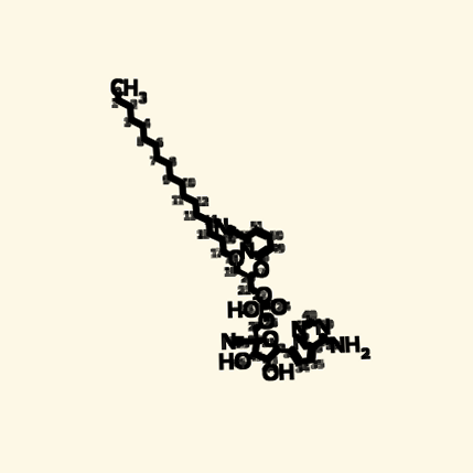 CCCCCCCCCCCCCCCCCCOC[C@H](COP(=O)(O)OC[C@@]1(C#N)O[C@@H](c2ccc3c(N)ncnn23)[C@H](O)[C@@H]1O)Oc1cccc(C#N)n1